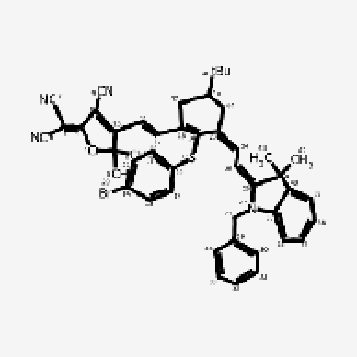 CC1(C)OC(=C(C#N)C#N)C(C#N)=C1C=CC1=C(Sc2ccc(Br)cc2)C(=CC=C2N(Cc3ccccc3)c3ccccc3C2(C)C)CC(C(C)(C)C)C1